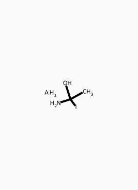 CC(N)(O)I.[AlH3]